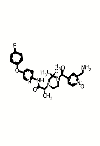 C[C@@H](C(=O)Nc1ccc(Oc2ccc(F)cc2)cn1)N1CCN(C(=O)c2cc[n+]([O-])c(CN)c2)C(C)(C)C1